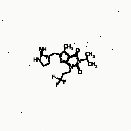 Cc1c(CN2CCNC2=N)sc2c1c(=O)n(C(C)C)c(=O)n2CCC(F)(F)F